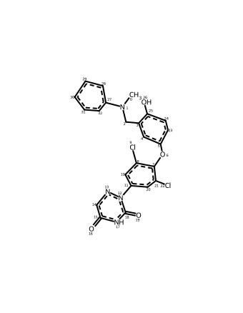 CN(Cc1cc(Oc2c(Cl)cc(-n3ncc(=O)[nH]c3=O)cc2Cl)ccc1O)c1ccccc1